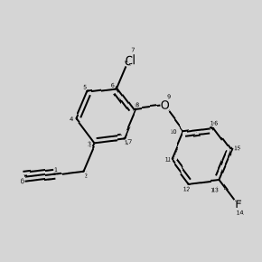 C#C[CH]c1ccc(Cl)c(Oc2ccc(F)cc2)c1